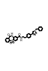 O=C(NCCc1ccc(-c2cn(Cc3ccccc3)nn2)cc1)c1ccc2c(c1)NC(=O)c1ccccc1S2(=O)=O